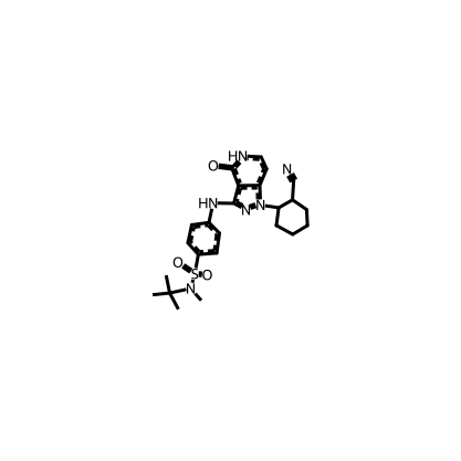 CN(C(C)(C)C)S(=O)(=O)c1ccc(Nc2nn(C3CCCCC3C#N)c3cc[nH]c(=O)c23)cc1